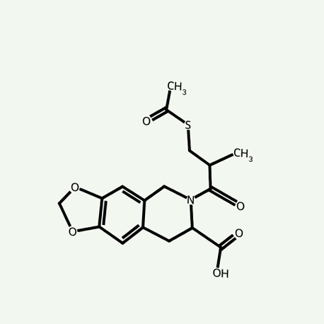 CC(=O)SCC(C)C(=O)N1Cc2cc3c(cc2CC1C(=O)O)OCO3